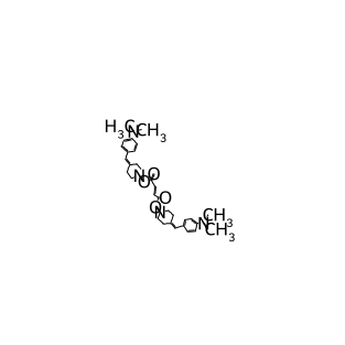 CN(C)c1ccc(C=C2CCN(OC(=O)/C=C/C(=O)ON3CCC(=Cc4ccc(N(C)C)cc4)CC3)CC2)cc1